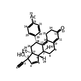 C#C[C@]1(O)C=C[C@H]2[C@@H]3CCC4=CC(=O)CCC4=C3[C@@H](c3ccc(C(C)=O)cc3)C[C@@]21CC